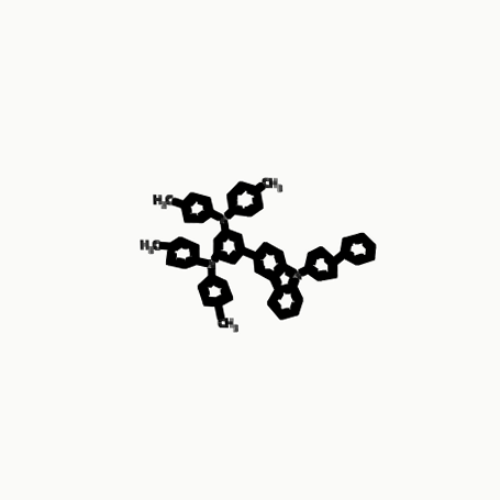 Cc1ccc(N(c2ccc(C)cc2)c2cc(-c3ccc4c(c3)c3ccccc3n4-c3ccc(-c4ccccc4)cc3)cc(N(c3ccc(C)cc3)c3ccc(C)cc3)c2)cc1